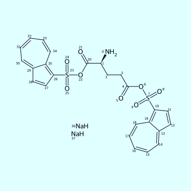 N[C@@H](CCC(=O)OS(=O)(=O)c1ccc2cccccc1-2)C(=O)OS(=O)(=O)c1ccc2cccccc1-2.[NaH].[NaH]